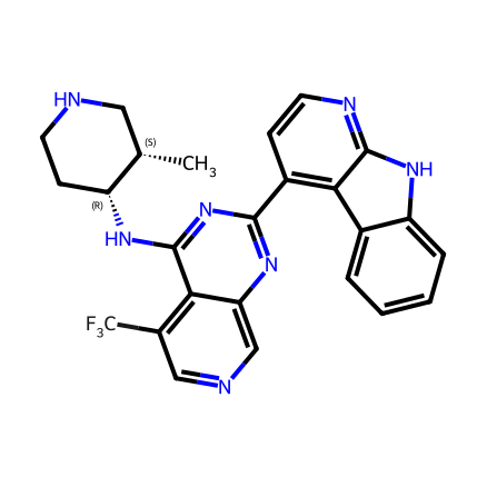 C[C@H]1CNCC[C@H]1Nc1nc(-c2ccnc3[nH]c4ccccc4c23)nc2cncc(C(F)(F)F)c12